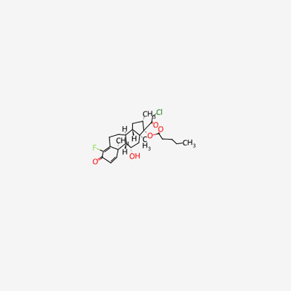 CCCCC(=O)O[C@@]1(C(=O)CCl)[C@@H](C)C[C@H]2[C@@H]3CCC4=C(F)C(=O)C=C[C@]4(C)[C@H]3[C@@H](O)C[C@@]21C